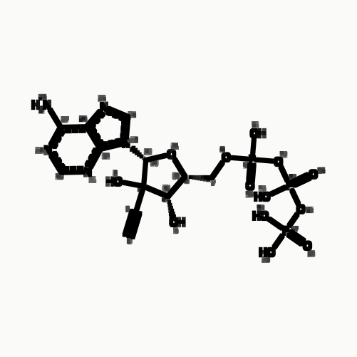 C#CC1(O)[C@@H](O)[C@@H](COP(=O)(O)OP(=O)(O)OP(=O)(O)O)O[C@H]1n1cnc2c(N)ncnc21